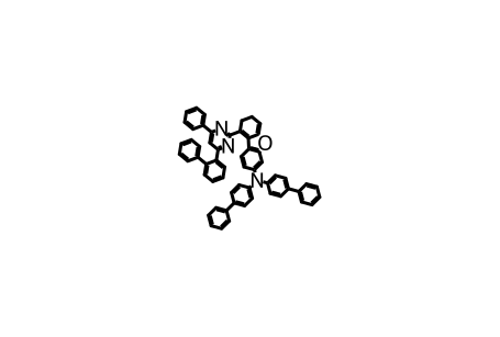 C1=c2oc3cc(N(c4ccc(-c5ccccc5)cc4)c4ccc(-c5ccccc5)cc4)ccc3c2=C(c2nc(-c3ccccc3)cc(-c3ccccc3-c3ccccc3)n2)CC1